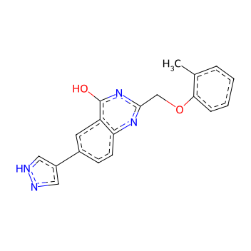 Cc1ccccc1OCc1nc(O)c2cc(-c3cn[nH]c3)ccc2n1